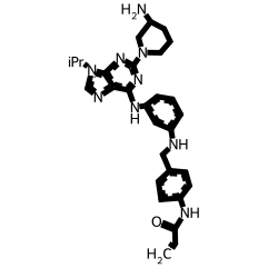 C=CC(=O)Nc1ccc(CNc2cccc(Nc3nc(N4CCCC(N)C4)nc4c3ncn4C(C)C)c2)cc1